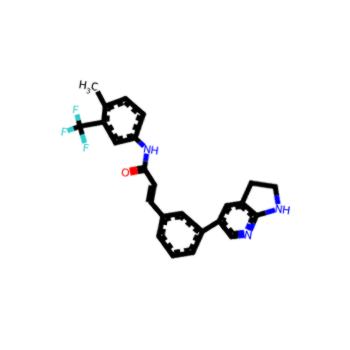 Cc1ccc(NC(=O)C=Cc2cccc(-c3cnc4c(c3)CCN4)c2)cc1C(F)(F)F